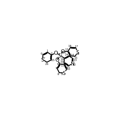 C1=CC(O[Si](OC2=CCSC=C2)(OC2=CCSC=C2)c2ccncc2)=CCS1